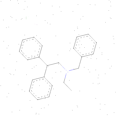 CCN(Cc1ccccc1)CC(c1ccccc1)c1ccccc1.Cl.P